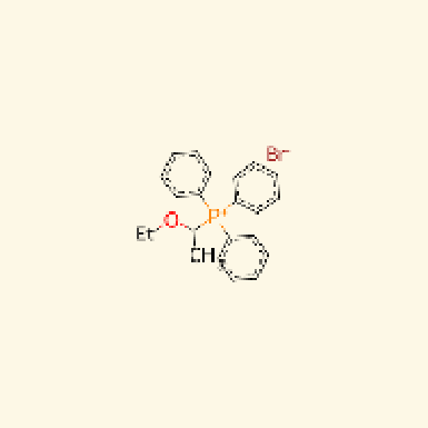 CCOC(C)[P+](c1ccccc1)(c1ccccc1)c1ccccc1.[Br-]